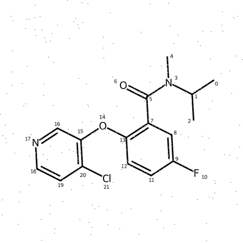 CC(C)N(C)C(=O)c1cc(F)ccc1Oc1cnccc1Cl